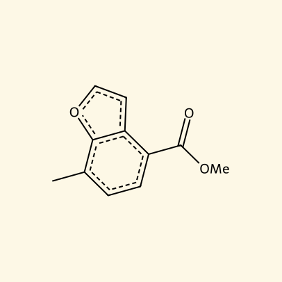 COC(=O)c1ccc(C)c2occc12